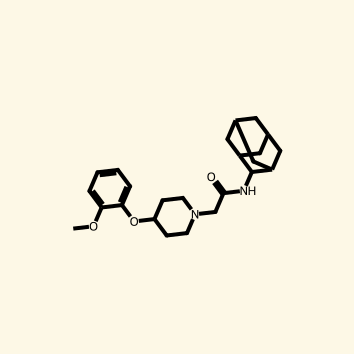 COc1ccccc1OC1CCN(CC(=O)NC2C3CC4CC(C3)CC2C4)CC1